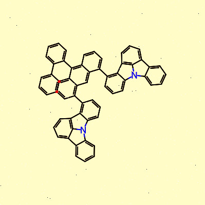 c1ccc(-c2ccccc2-c2c3cccc(-c4cccc5c4c4cccc6c7ccccc7n5c64)c3cc3c(-c4cccc5c4c4cccc6c7ccccc7n5c64)cccc23)cc1